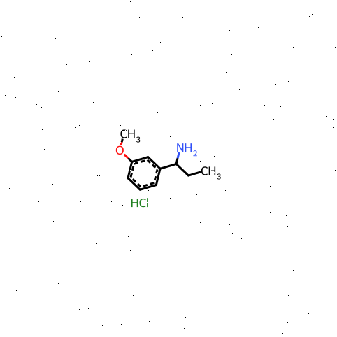 CCC(N)c1cccc(OC)c1.Cl